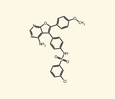 COc1ccc(-c2oc3ncnc(N)c3c2-c2ccc(NS(=O)(=O)c3cccc(Cl)c3)cc2)cc1